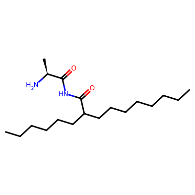 CCCCCCCCC(CCCCCC)C(=O)NC(=O)[C@H](C)N